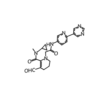 CN(C(=O)C1=C(C=O)CCCN1CC(=O)Nc1ccc(-c2cncnc2)nc1)C1CC1